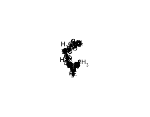 Cc1ccc(-c2cc(C(F)(F)F)nn2-c2ccc(S(=O)(=O)NC(=O)OC[C@@H]3CCCN3/[N+]([O-])=N/OC(C)N3C(=O)c4ccccc4C3=O)cc2)cc1